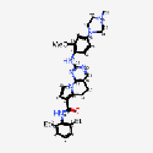 CCc1cccc(CC)c1NC(=O)c1ccn2c1CCc1cnc(Nc3ccc(N4CCN(C)CC4)cc3OC)nc1-2